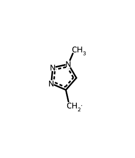 [CH2]c1cn(C)nn1